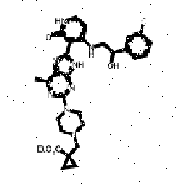 CCOC(=O)C1(CN2CCN(c3nc(C)c4nc(-c5c(NCC(O)c6cccc(Cl)c6)cc[nH]c5=O)[nH]c4n3)CC2)CC1